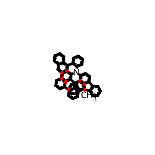 CC1(c2ccccc2)c2ccccc2-c2ccc(N(c3ccccc3-c3cccc4ccccc34)c3ccccc3-c3cccc4cccc(-c5ccccc5)c34)cc21